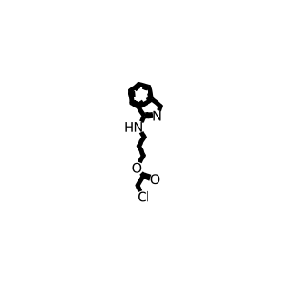 O=C(CCl)OCCCNC1=NCc2ccccc21